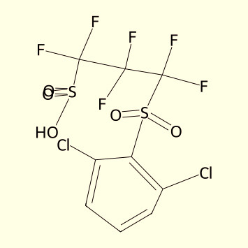 O=S(=O)(O)C(F)(F)C(F)(F)C(F)(F)S(=O)(=O)c1c(Cl)cccc1Cl